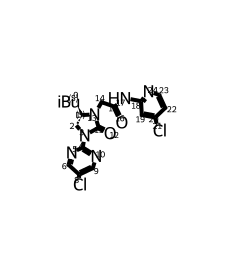 CC[C@H](C)[C@H]1CN(c2ncc(Cl)cn2)C(=O)N1CC(=O)Nc1cc(Cl)ccn1